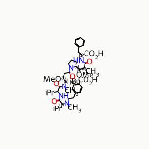 CC[C@H](C)[C@@H]([C@@H](CC(=O)N1CCC[C@H]1[C@H](OC)[C@@H](C)C(=O)N[C@@H](Cc1ccccc1)C(=O)O)OC)N(C)C(=O)C(NC(=O)[C@H](C(C)C)N(C)CCc1ccc(C(=O)O)cc1)C(C)C